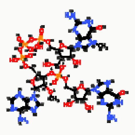 CO[C@@H]1[C@H](OP(=O)([O-])OC[C@H]2O[C@@H](n3cnc4c(=O)[nH]c(N)nc43)[C@H](O)[C@@H]2O)[C@@H](COP(=O)(O)OP(=O)(O)OP(=O)(O)OC[C@H]2O[C@@H](n3c[n+](C)c4c(=O)[nH]c(N)nc43)[C@H](O)[C@@H]2CO)O[C@H]1n1cnc2c(N)ncnc21